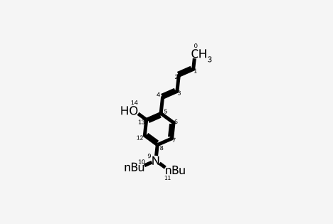 C/C=C/C=C/c1ccc(N(CCCC)CCCC)cc1O